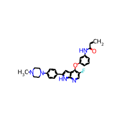 C=CC(=O)Nc1cccc(Oc2c(F)cnc3[nH]c(-c4ccc(N5CCN(C)CC5)cc4)cc23)c1